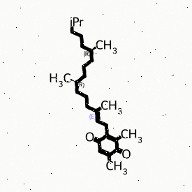 CC1=CC(=O)C(C/C=C(\C)CCC[C@H](C)CCC[C@H](C)CCCC(C)C)=C(C)C1=O